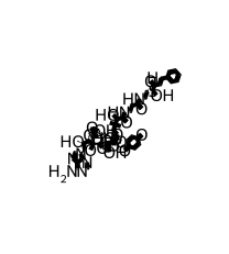 CC(C)(COP(=O)(O)OP(=O)(O)OC[C@H]1O[C@@H](n2cnc3c(N)ncnc32)[C@H](O)[C@@H]1OP(=O)(O)O)C(O)C(=O)NCCC(=O)NCC[SH](O)C(=O)/C=C/c1ccccc1.O=C1C=CC(=O)C=C1